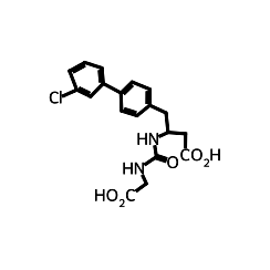 O=C(O)CNC(=O)NC(CC(=O)O)Cc1ccc(-c2cccc(Cl)c2)cc1